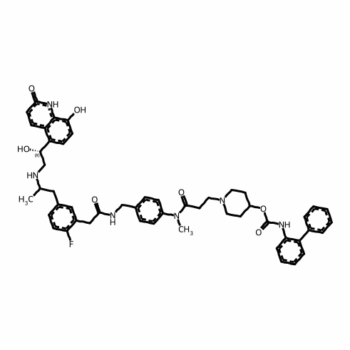 CC(Cc1ccc(F)c(CC(=O)NCc2ccc(N(C)C(=O)CCN3CCC(OC(=O)Nc4ccccc4-c4ccccc4)CC3)cc2)c1)NC[C@H](O)c1ccc(O)c2[nH]c(=O)ccc12